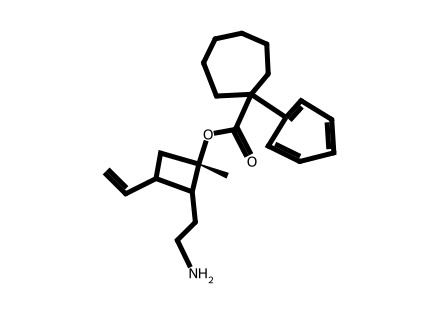 C=CC1C[C@](C)(OC(=O)C2(c3ccccc3)CCCCCC2)C1CCN